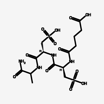 CC(NC(=O)[C@H](CS(=O)(=O)O)NC(=O)[C@H](CS(=O)(=O)O)NC(=O)CCCC(=O)O)C(N)=O